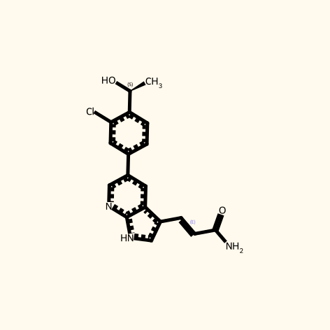 C[C@H](O)c1ccc(-c2cnc3[nH]cc(/C=C/C(N)=O)c3c2)cc1Cl